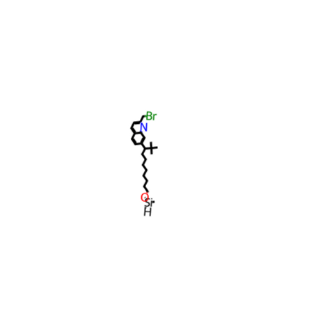 C[SiH](C)OCCCCCCCCC(c1ccc2ccc(CBr)nc2c1)C(C)(C)C